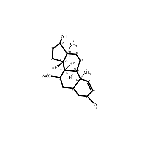 COC1CC2CC(O)C=C[C@]2(C)[C@@H]2CC[C@]3(C)C(O)CC[C@H]3[C@H]12